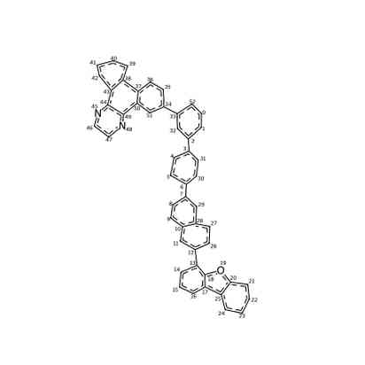 c1cc(-c2ccc(-c3ccc4cc(-c5cccc6c5oc5ccccc56)ccc4c3)cc2)cc(-c2ccc3c4ccccc4c4nccnc4c3c2)c1